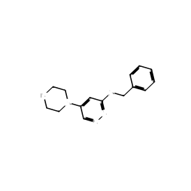 c1ccc(CNc2cc(N3CCNCC3)cnn2)cc1